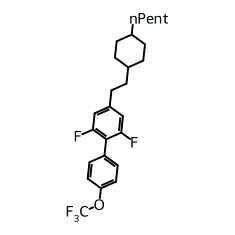 CCCCCC1CCC(CCc2cc(F)c(-c3ccc(OC(F)(F)F)cc3)c(F)c2)CC1